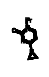 CC(C)n1ccc(N2CC2)nc1=O